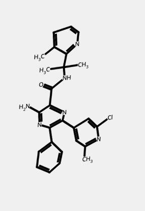 Cc1cc(-c2nc(C(=O)NC(C)(C)c3ncccc3C)c(N)nc2-c2ccccc2)cc(Cl)n1